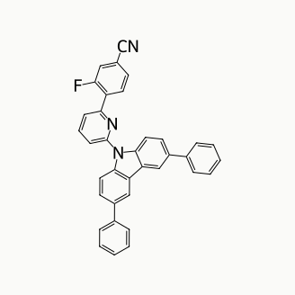 N#Cc1ccc(-c2cccc(-n3c4ccc(-c5ccccc5)cc4c4cc(-c5ccccc5)ccc43)n2)c(F)c1